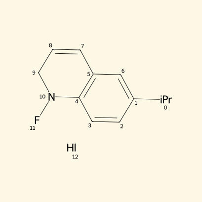 CC(C)c1ccc2c(c1)C=CCN2F.I